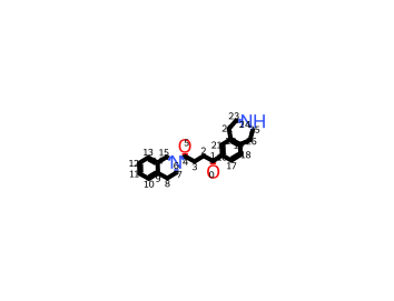 O=C(CCC(=O)N1CCc2ccccc2C1)c1ccc2c(c1)CCNCC2